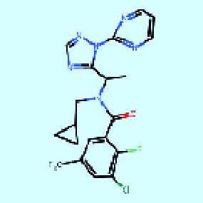 CC(c1ncnn1-c1ncccn1)N(CC1CC1)C(=O)c1cc(C(F)(F)F)cc(Cl)c1F